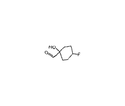 O=CC1(O)CCC(F)CC1